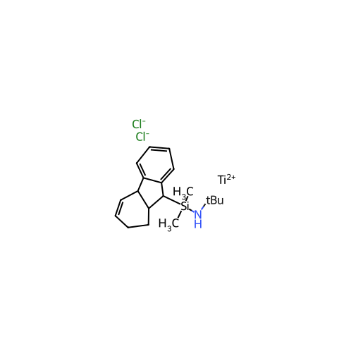 CC(C)(C)N[Si](C)(C)C1c2ccccc2C2C=CCCC21.[Cl-].[Cl-].[Ti+2]